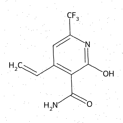 C=Cc1cc(C(F)(F)F)nc(O)c1C(N)=O